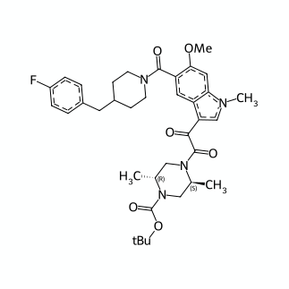 COc1cc2c(cc1C(=O)N1CCC(Cc3ccc(F)cc3)CC1)c(C(=O)C(=O)N1C[C@@H](C)N(C(=O)OC(C)(C)C)C[C@@H]1C)cn2C